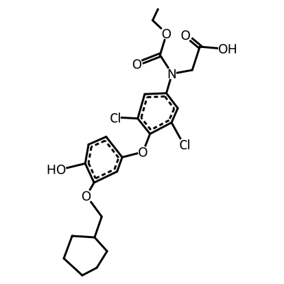 CCOC(=O)N(CC(=O)O)c1cc(Cl)c(Oc2ccc(O)c(OCC3CCCCC3)c2)c(Cl)c1